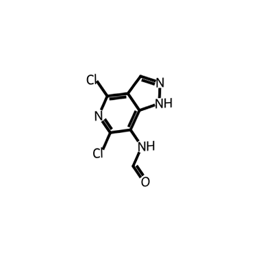 O=CNc1c(Cl)nc(Cl)c2cn[nH]c12